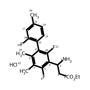 CCOC(=O)CC(N)c1c(F)c(C)c(C)c(-c2ccc(C)cc2F)c1F.Cl